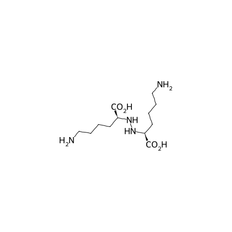 NCCCC[C@H](NN[C@@H](CCCCN)C(=O)O)C(=O)O